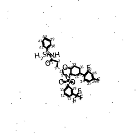 O=C(CC[C@H]1CN(S(=O)(=O)c2cccc(C(F)(F)F)c2)C2CC(c3ccc(F)cc3F)CCC2O1)N[SiH2]c1ccccc1